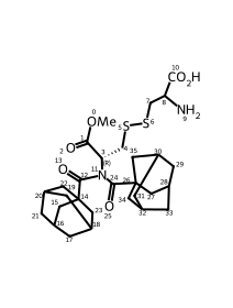 COC(=O)[C@H](CSSCC(N)C(=O)O)N(C(=O)C12CC3CC(CC(C3)C1)C2)C(=O)C12CC3CC(CC(C3)C1)C2